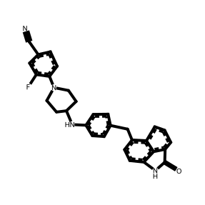 N#Cc1ccc(N2CCC(Nc3ccc(Cc4ccc5c6c(cccc46)C(=O)N5)cc3)CC2)c(F)c1